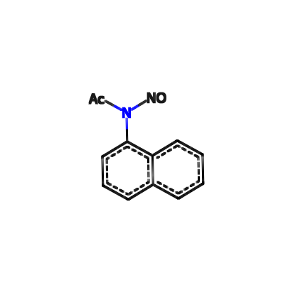 CC(=O)N(N=O)c1cccc2ccccc12